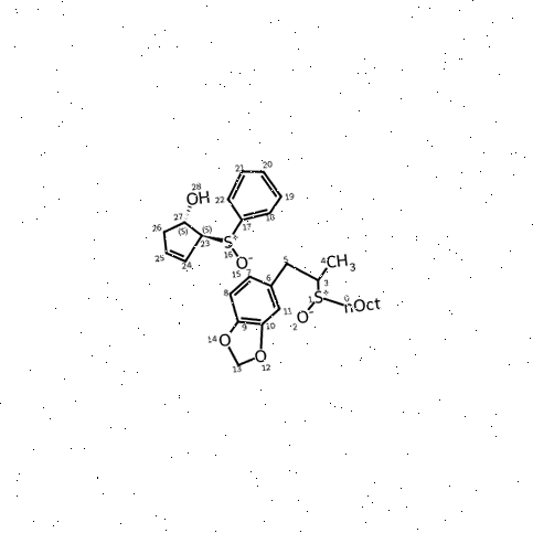 CCCCCCCC[S+]([O-])C(C)Cc1ccc2c(c1)OCO2.[O-][S+](c1ccccc1)[C@H]1C=CC[C@@H]1O